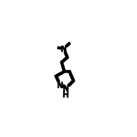 CN(C)CCC1CCN[N]C1